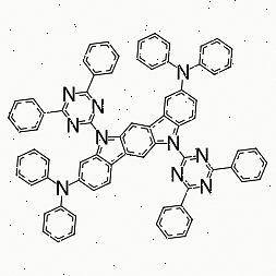 c1ccc(-c2nc(-c3ccccc3)nc(-n3c4ccc(N(c5ccccc5)c5ccccc5)cc4c4cc5c(cc43)c3ccc(N(c4ccccc4)c4ccccc4)cc3n5-c3nc(-c4ccccc4)nc(-c4ccccc4)n3)n2)cc1